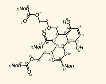 CCCCCCCCCC(=O)OCCOCC(OC(=O)CCCCCCCCC)c1c(O)ccc(O)c1C(COCCOC(=O)CCCCCCCCC)OC(=O)CCCCCCCCC